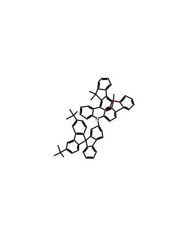 CC(C)(C)c1ccc2c(c1)-c1cc(C(C)(C)C)ccc1C21c2ccccc2-c2ccc(N(c3ccc4c(c3)C(C)(C)c3ccccc3-4)c3ccccc3-c3cccc4c3C(C)(C)c3ccccc3-4)cc21